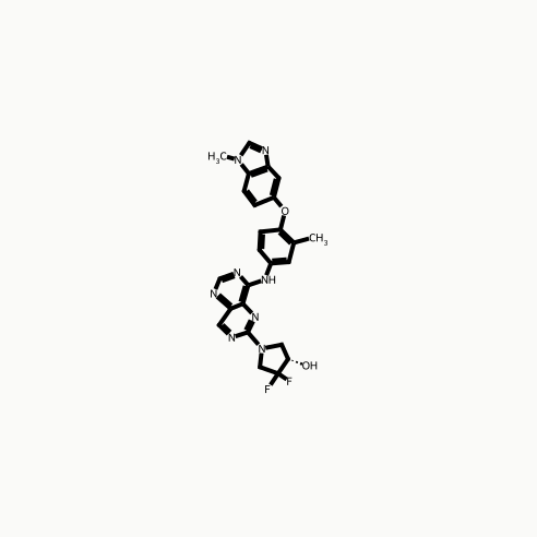 Cc1cc(Nc2ncnc3cnc(N4C[C@H](O)C(F)(F)C4)nc23)ccc1Oc1ccc2c(c1)ncn2C